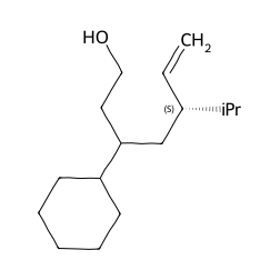 C=C[C@@H](CC(CCO)C1CCCCC1)C(C)C